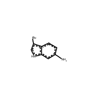 CCC(C)c1c[nH]c2cc(N)ccc12